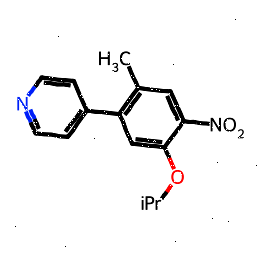 Cc1cc([N+](=O)[O-])c(OC(C)C)cc1-c1ccncc1